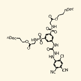 CCCCCCCCCCCCOC(=O)CNS(=O)(=O)c1cc(NC(=O)NNc2cc(C#N)c(C#N)cc2Cl)cc(S(=O)(=O)NCC(=O)OCCCCCCCCCCCC)c1